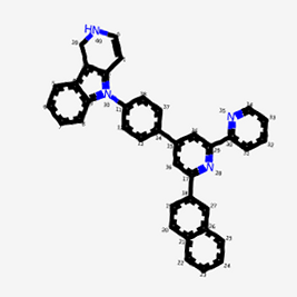 C1=Cc2c(c3ccccc3n2-c2ccc(-c3cc(-c4ccc5ccccc5c4)nc(-c4ccccn4)c3)cc2)CN1